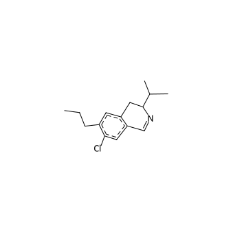 CCCc1cc2c(cc1Cl)C=NC(C(C)C)C2